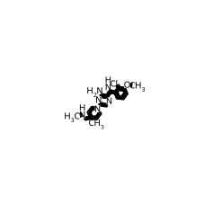 CNCC1(C)CCN(c2cnc(C(=N)c3cccc(OC)c3Cl)c(N)n2)CC1